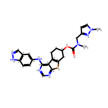 CN(Cc1ccn(C)n1)C(=O)OC1CCc2c(sc3ncnc(Nc4ccc5[nH]ncc5c4)c23)C1